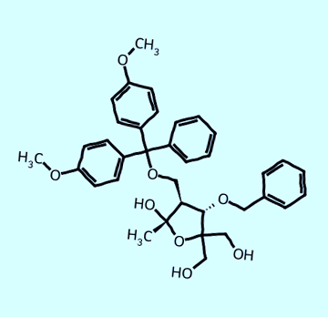 COc1ccc(C(OC[C@H]2[C@H](OCc3ccccc3)C(CO)(CO)O[C@]2(C)O)(c2ccccc2)c2ccc(OC)cc2)cc1